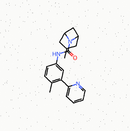 Cc1ccc(NC(=O)N2C3CC(C)CC2C3)cc1-c1ccccn1